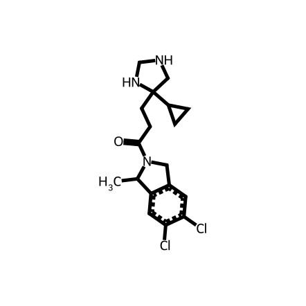 CC1c2cc(Cl)c(Cl)cc2CN1C(=O)CCC1(C2CC2)CNCN1